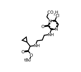 CC(C)(C)OC(=O)C(NCCCNc1ncc(Cl)n(CC(=O)O)c1=O)C1CC1